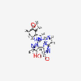 Cc1cc(-c2c(C(=O)O)nc3ccnc(NCc4cccc5c4CCO5)n23)n(C)n1